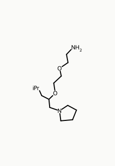 CC(C)CC(CN1CCCC1)OCCOCCN